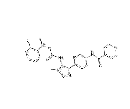 C[C@@H](OC(=O)Nc1c(-c2ccc(NC(=O)c3ccncc3)cn2)nnn1C)c1cccnc1Cl